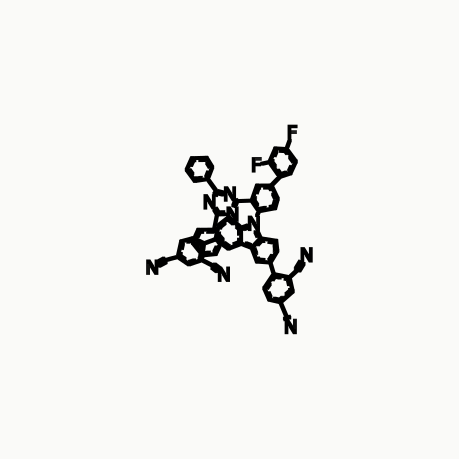 N#Cc1ccc(-c2ccc3c(c2)c2cc(-c4ccc(C#N)cc4C#N)ccc2n3-c2ccc(-c3ccc(F)cc3F)cc2-c2nc(-c3ccccc3)nc(-c3ccccc3)n2)c(C#N)c1